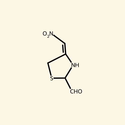 O=CC1N/C(=C/[N+](=O)[O-])CS1